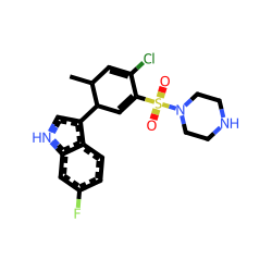 CC1C=C(Cl)C(S(=O)(=O)N2CCNCC2)=CC1c1c[nH]c2cc(F)ccc12